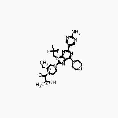 CC[C@H]1CN(c2nc3c(N4CCOCC4)nc(-c4cnc(N)nc4)nc3n2CC(F)(F)F)CCN1C(=O)[C@H](C)O